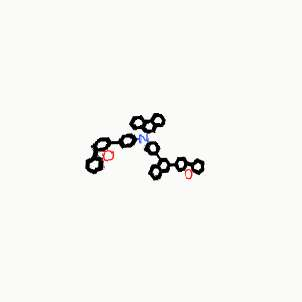 c1ccc2c(-c3ccc(N(c4ccc(-c5cccc6c5oc5ccccc56)cc4)c4cc5ccccc5c5ccccc45)cc3)cc(-c3ccc4c(c3)oc3ccccc34)cc2c1